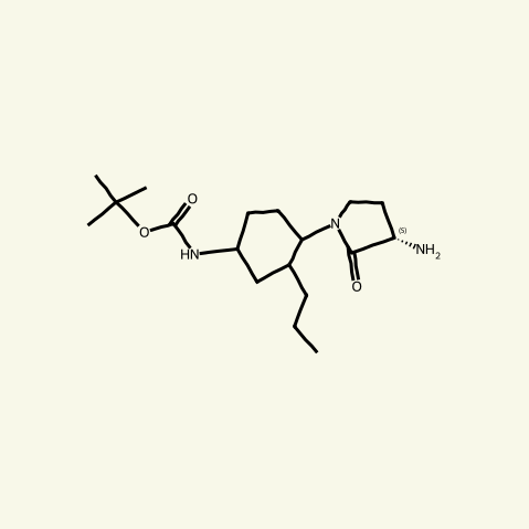 CCCC1CC(NC(=O)OC(C)(C)C)CCC1N1CC[C@H](N)C1=O